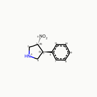 O=[N+]([O-])[C@H]1CNC[C@@H]1c1ccccc1